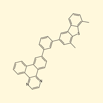 Cc1cccc2c1sc1c(C)cc(-c3cccc(-c4ccc5c(c4)c4ccccc4c4nccnc54)c3)cc12